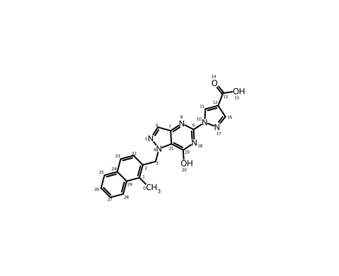 Cc1c(Cn2ncc3nc(-n4cc(C(=O)O)cn4)nc(O)c32)ccc2ccccc12